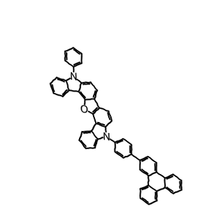 c1ccc(-n2c3ccccc3c3c4oc5c(ccc6c5c5ccccc5n6-c5ccc(-c6ccc7c8ccccc8c8ccccc8c7c6)cc5)c4ccc32)cc1